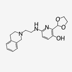 Oc1ccc(NCCN2CCc3ccccc3C2)nc1C1OCCO1